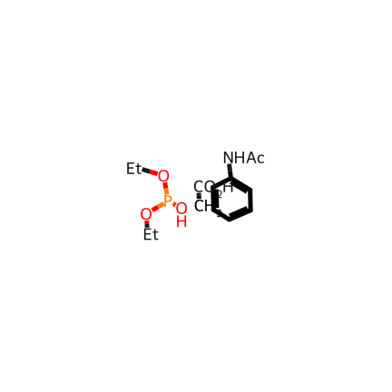 CC(=O)Nc1ccccc1.CC(=O)O.CCOP(O)OCC